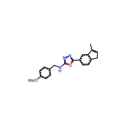 COc1ccc(CNc2nnc(-c3ccc4c(c3)C(C)=CC4)o2)cc1